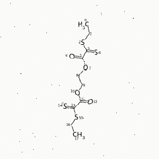 CCSC(=S)C(=O)OCCOC(=O)C(=S)SCC